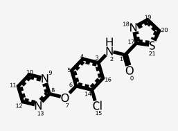 O=C(Nc1ccc(Oc2ncccn2)c(Cl)c1)c1nccs1